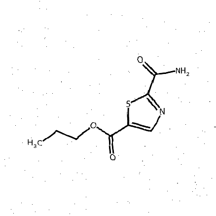 CCCOC(=O)c1cnc(C(N)=O)s1